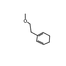 COCCC1=CCCC=C1